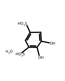 O.O=S(=O)(O)c1cc(O)c(O)c(S(=O)(=O)O)c1